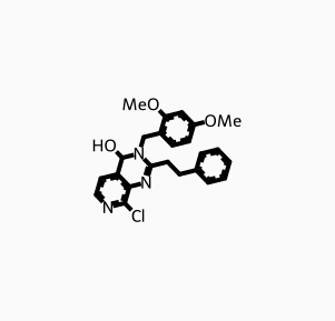 COc1ccc(CN2C(CCc3ccccc3)=Nc3c(ccnc3Cl)C2O)c(OC)c1